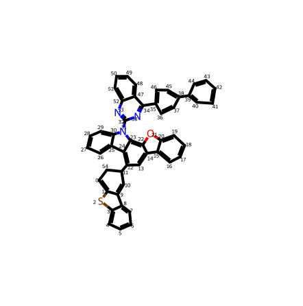 C1=c2sc3ccccc3c2=CC(c2cc3c4ccccc4oc3c3c2c2ccccc2n3-c2nc(-c3ccc(-c4ccccc4)cc3)c3ccccc3n2)C1